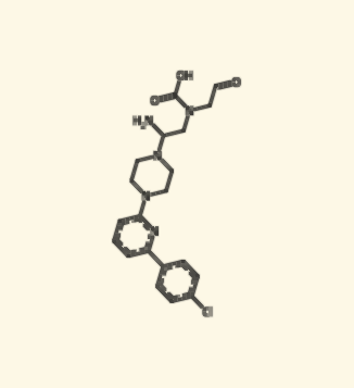 NC(CN(CC=O)C(=O)O)N1CCN(c2cccc(-c3ccc(Cl)cc3)n2)CC1